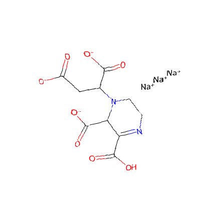 O=C([O-])CC(C(=O)[O-])N1CCN=C(C(=O)O)C1C(=O)[O-].[Na+].[Na+].[Na+]